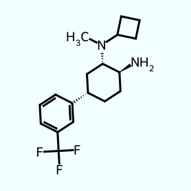 CN(C1CCC1)[C@H]1C[C@@H](c2cccc(C(F)(F)F)c2)CC[C@@H]1N